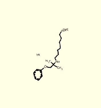 CCCCCCCCCCCCCCCCCNC(C)(C)COc1ccccc1.I